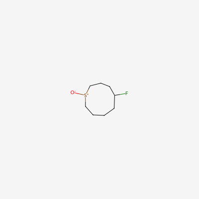 [O-][S+]1CCCCC(F)CCC1